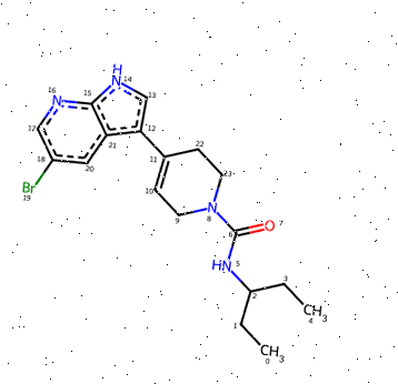 CCC(CC)NC(=O)N1CC=C(c2c[nH]c3ncc(Br)cc23)CC1